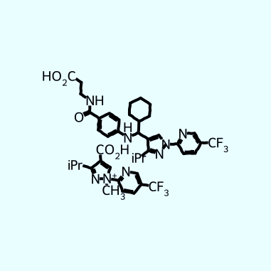 CC(C)C1=N[N+](C)(c2ccc(C(F)(F)F)cn2)C=C1C(=O)O.CC(C)c1nn(-c2ccc(C(F)(F)F)cn2)cc1C(Nc1ccc(C(=O)NCCC(=O)O)cc1)C1CCCCC1